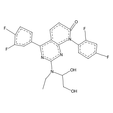 CCN(c1nc(-c2ccc(F)c(F)c2)c2ccc(=O)n(-c3ccc(F)cc3F)c2n1)C(O)CO